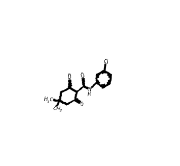 CC1(C)CC(=O)C(C(=O)Nc2cccc(Cl)c2)C(=O)C1